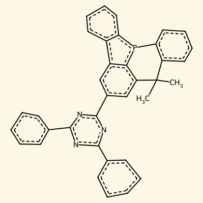 CC1(C)c2ccccc2-p2c3ccccc3c3cc(-c4nc(-c5ccccc5)nc(-c5ccccc5)n4)cc1c32